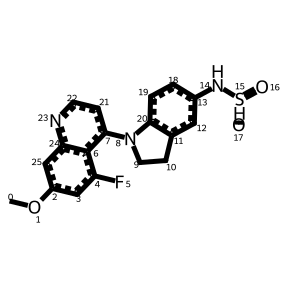 COc1cc(F)c2c(N3CCc4cc(N[SH](=O)=O)ccc43)ccnc2c1